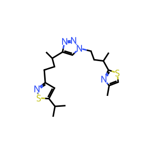 Cc1csc(C(C)CCn2cc(C(C)CCc3cc(C(C)C)sn3)nn2)n1